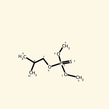 COP(=S)(OC)OCC(C)C